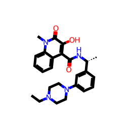 CCN1CCN(c2cccc([C@@H](C)NC(=O)c3c(O)c(=O)n(C)c4ccccc34)c2)CC1